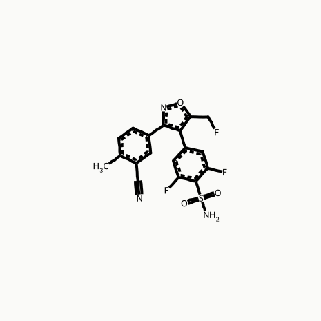 Cc1ccc(-c2noc(CF)c2-c2cc(F)c(S(N)(=O)=O)c(F)c2)cc1C#N